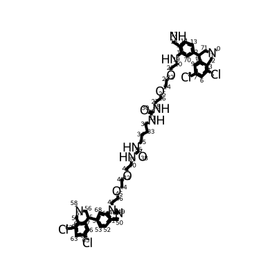 CN1Cc2c(Cl)cc(Cl)cc2C(c2ccc(C=N)c(NCCOCCOCCNC(=O)NCCCCNC(=O)NCCOCCOCCn3ncc4ccc(C5CN(C)Cc6c(Cl)cc(Cl)cc65)cc43)c2)C1